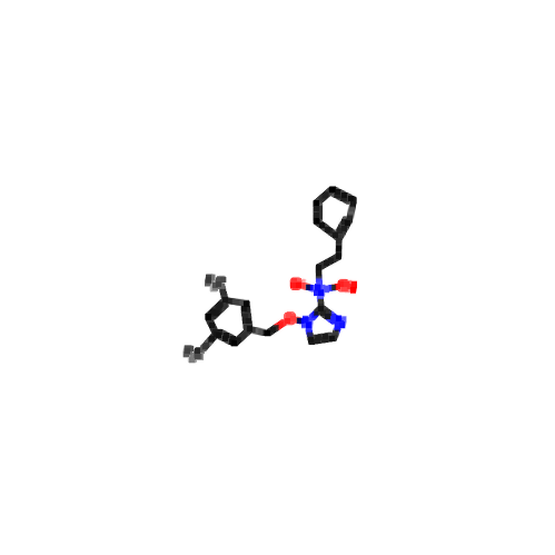 [O-][N+](O)(CCc1ccccc1)c1nccn1OCc1cc(C(F)(F)F)cc(C(F)(F)F)c1